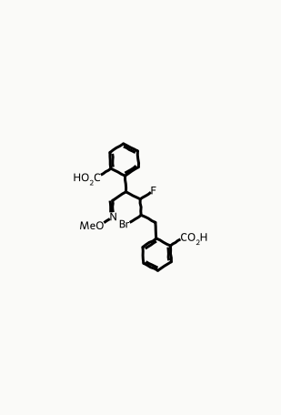 CON=CC(c1ccccc1C(=O)O)C(F)C(Br)Cc1ccccc1C(=O)O